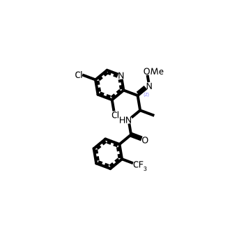 CO/N=C(\c1ncc(Cl)cc1Cl)C(C)NC(=O)c1ccccc1C(F)(F)F